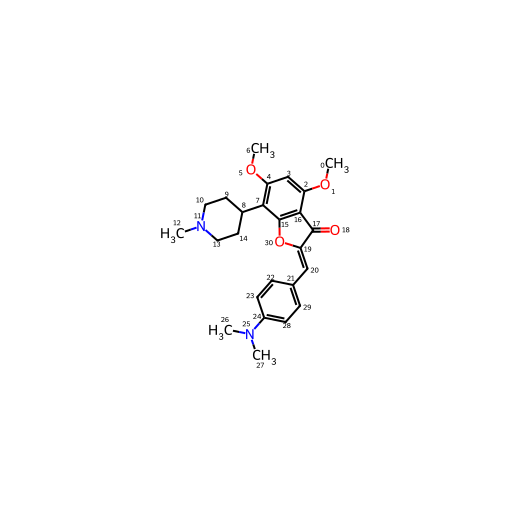 COc1cc(OC)c(C2CCN(C)CC2)c2c1C(=O)/C(=C/c1ccc(N(C)C)cc1)O2